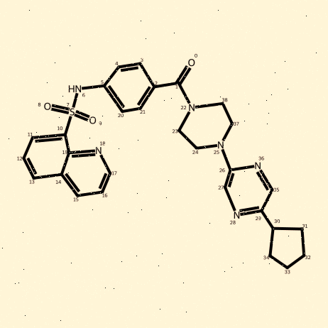 O=C(c1ccc(NS(=O)(=O)c2cccc3cccnc23)cc1)N1CCN(c2cnc(C3CCCC3)cn2)CC1